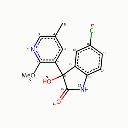 COc1ncc(C)cc1C1(O)C(=O)Nc2ccc(Cl)cc21